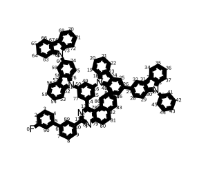 Fc1cccc(-c2cccc(-c3nc(-c4cc(-n5c6ccccc6c6cc(-c7ccc8c(c7)c7ccccc7n8-c7ccccc7)ccc65)cc(-n5c6ccccc6c6cc(-n7c8ccccc8c8ccccc87)ccc65)c4)c4c(ccc5ccccc54)n3)c2)c1